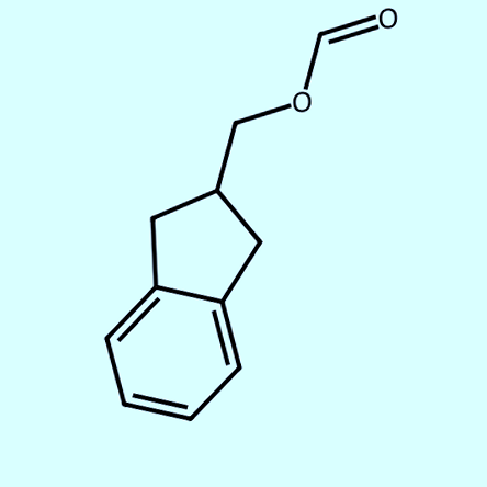 O=COCC1Cc2ccccc2C1